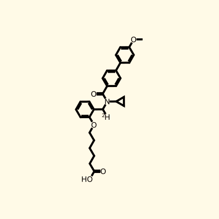 [2H]C(c1ccccc1OCCCCCC(=O)O)N(C(=O)c1ccc(-c2ccc(OC)cc2)cc1)C1CC1